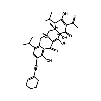 CC(=O)C1=C(O)C(C(C)C)[C@@]2(C)C[C@@]3(C)Cc4c(C(C)C)cc(C#CC5=CCCCC5)c(O)c4C(=O)C3=C(O)[C@@]2(O)C1=O